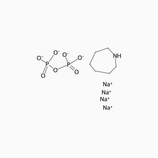 C1CCCNCC1.O=P([O-])([O-])OP(=O)([O-])[O-].[Na+].[Na+].[Na+].[Na+]